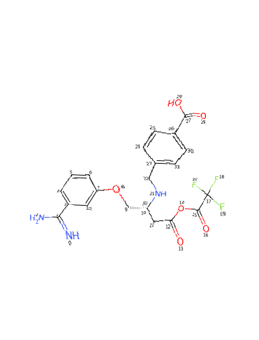 N=C(N)c1cccc(OC[C@@H](CC(=O)OC(=O)C(F)(F)F)NCc2ccc(C(=O)O)cc2)c1